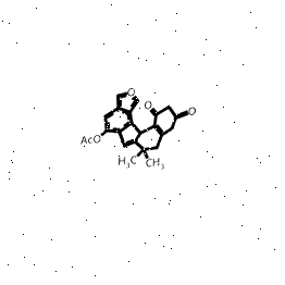 CC(=O)Oc1cc2cocc2c2c1C=C1C2C2=C(CC(=O)CC2=O)CC1(C)C